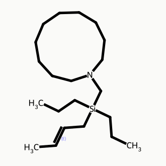 C/C=C/C[Si](CCC)(CCC)CN1CCCCCCCCCC1